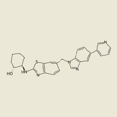 O[C@@H]1CCCC[C@H]1Nc1nc2ccc(Cn3cnc4cc(-c5cccnc5)ccc43)cc2s1